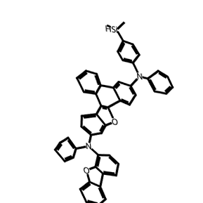 C[SiH](C)c1ccc(N(c2ccccc2)c2ccc3c(c2)c2ccccc2c2c4ccc(N(c5ccccc5)c5cccc6c5oc5ccccc56)cc4oc32)cc1